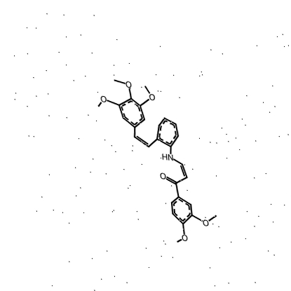 COc1ccc(C(=O)/C=C\Nc2ccccc2/C=C\c2cc(OC)c(OC)c(OC)c2)cc1OC